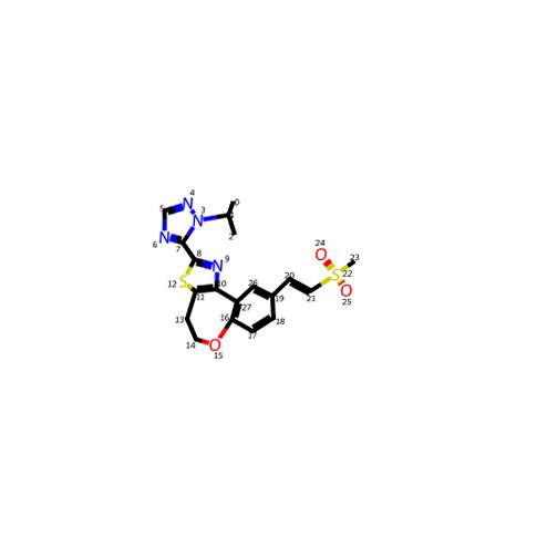 CC(C)n1ncnc1-c1nc2c(s1)CCOc1ccc(C=CS(C)(=O)=O)cc1-2